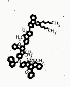 CCCCCCCC1(CCCCCCC)c2ccccc2-c2ccc(-c3ccc4c(c3)C(C)(C)c3cc(-c5cc6c(c7c5oc5ccccc57)-c5ccc(N(c7ccc8c(c7)C(C)(C)c7c9c(c%10c(oc%11ccccc%11%10)c7-8)-c7ccccc7C9(C)C)c7cccc8ccccc78)cc5C6(C)C)ccc3-4)cc21